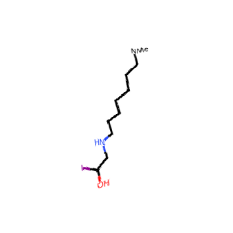 CNCCCCCCCNCC(O)I